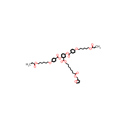 C=CC(=O)OCCCCCCOc1ccc(C(=O)Oc2ccc(OC(=O)c3ccc(OCCCCCCOC(=O)C=C)cc3)c(C(=O)OCCCCCCCC(=O)OCc3ccco3)c2)cc1